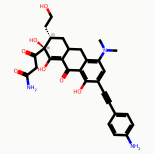 CN(C)c1cc(C#Cc2ccc(N)cc2)c(O)c2c1CC1C[C@@H](CCO)[C@@](O)(C(=O)CC(N)=O)C(O)=C1C2=O